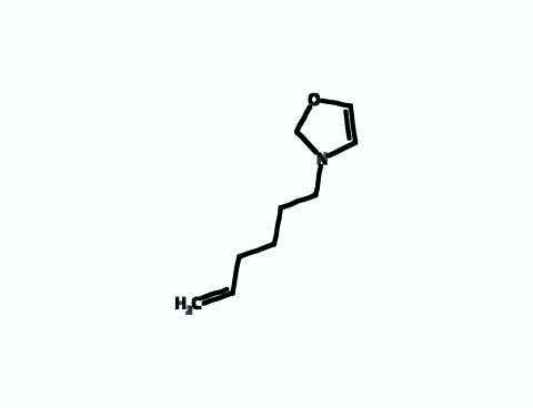 C=CCCCCN1C=COC1